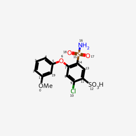 COc1cccc(Oc2cc(Cl)c(S(=O)(=O)O)cc2S(N)(=O)=O)c1